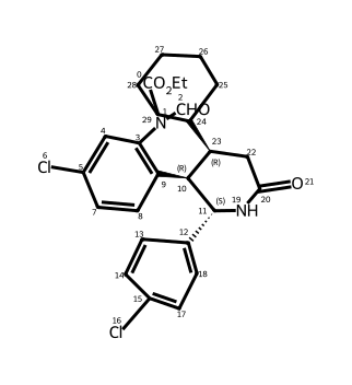 CCOC(=O)N(C=O)c1cc(Cl)ccc1[C@@H]1[C@@H](c2ccc(Cl)cc2)NC(=O)C[C@@H]1C1CCCCC1